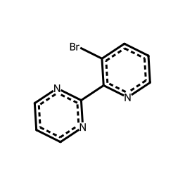 Brc1cccnc1-c1ncccn1